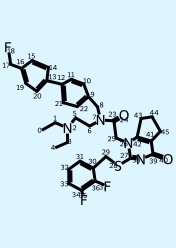 CCN(CC)CCN(Cc1ccc(-c2ccc(CF)cc2)cc1)C(=O)Cn1c(SCc2cccc(F)c2F)nc(=O)c2c1CCC2